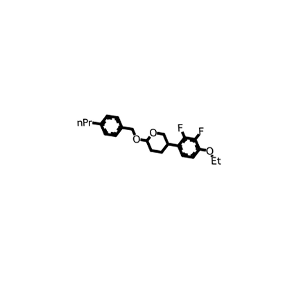 CCCc1ccc(COC2CCC(c3ccc(OCC)c(F)c3F)CO2)cc1